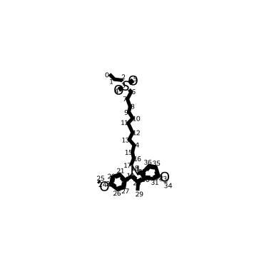 CCCS(=O)(=O)CCCCCCCCCCCCn1c(-c2ccc(OC)cc2)c(C)c2cc(OC)ccc21